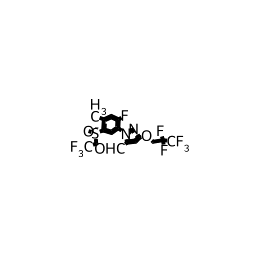 Cc1cc(F)c(-n2nc(OCC(F)(F)C(F)(F)F)cc2C=O)cc1[S+]([O-])CC(F)(F)F